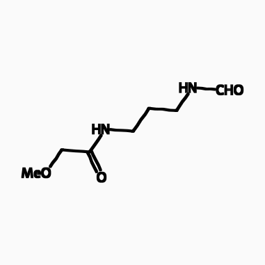 COCC(=O)NCCCNC=O